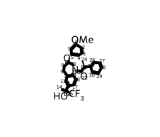 COc1cccc(O[C@H]2CCc3cc(C(C)(O)C(F)(F)F)ccc3N(C(=O)[C@@H](C)c3ccccc3)C2)c1